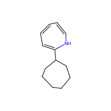 [CH]1CCCCC(C2=CC=CC=CN2)C1